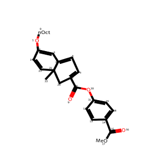 CCCCCCCCOC1=CC2=CC=C(C(=O)Oc3ccc(C(=O)OC)cc3)CC2(C)C=C1